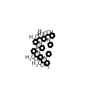 CC1(C)c2ccccc2N(c2ccccc2)c2cc3c(cc21)C(C)(C)c1cccc2c1N3c1cccc3c1B2c1cccc2c1N3c1cc3c(cc1C2(C)C)C(C)(C)c1ccccc1N3c1ccccc1